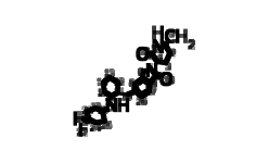 C=C1CC[C@H](N2Cc3cc(C[C@H]4CCCC[C@@H]4NC4CCC(F)(F)CC4)ccc3C2=O)C(=O)N1